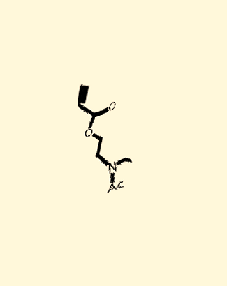 C=CC(=O)OCCN(C)C(C)=O